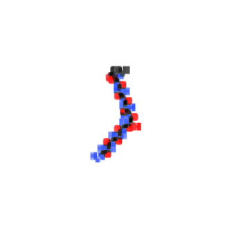 NCC(=O)NCC(=O)NCC(=O)NCC(=O)NCC(=O)N[C@@H](CO)C(=O)NCC(=O)NCC(=O)NCC(=O)NCC(=O)NCC(=O)N[C@@H](CO)C(=O)O